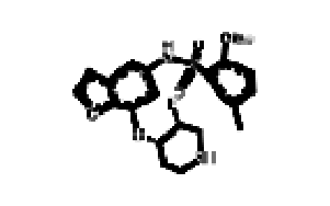 COc1ccc(C)cc1S(=O)(=O)Nc1cc(O[C@H]2CCNC[C@@H]2F)c2occc2c1